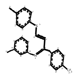 Cc1ccc(SC=CC(=Nc2cccc(C)c2)c2ccc(C(F)(F)F)cc2)cc1